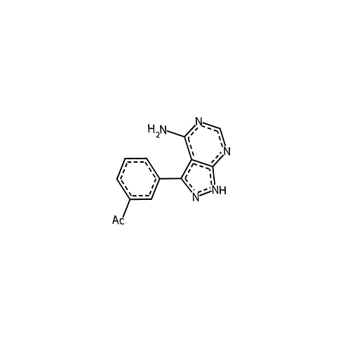 CC(=O)c1cccc(-c2n[nH]c3ncnc(N)c23)c1